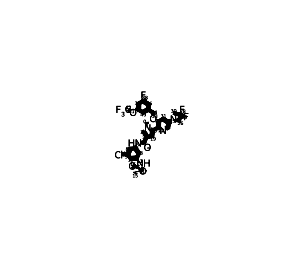 Cn1cc(C(=O)Nc2cc(Cl)cc(NS(C)(=O)=O)c2)cc1-c1ncc(N2CC(F)(F)C2)cc1OCc1cc(F)cc(OC(F)(F)F)c1